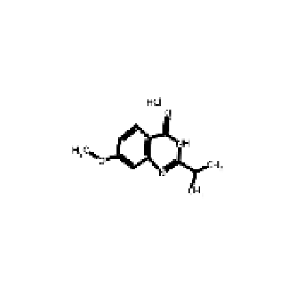 COc1ccc2c(=O)[nH]c(C(C)C)nc2c1.Cl